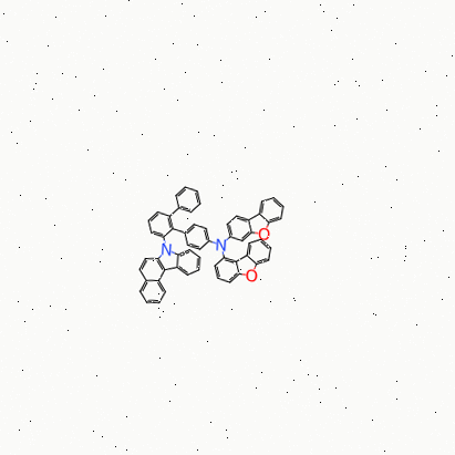 c1ccc(-c2cccc(-n3c4ccccc4c4c5ccccc5ccc43)c2-c2ccc(N(c3ccc4c(c3)oc3ccccc34)c3cccc4oc5ccccc5c34)cc2)cc1